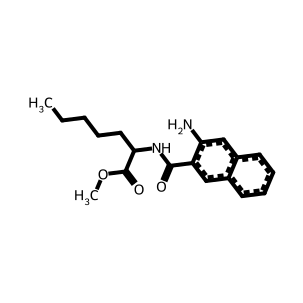 CCCCCC(NC(=O)c1cc2ccccc2cc1N)C(=O)OC